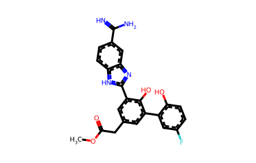 COC(=O)Cc1cc(-c2nc3cc(C(=N)N)ccc3[nH]2)c(O)c(-c2cc(F)ccc2O)c1